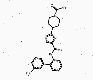 CCCC(=O)N1CCC(c2nc(C(=O)Nc3ccccc3-c3cccc(C(F)(F)F)c3)cs2)CC1